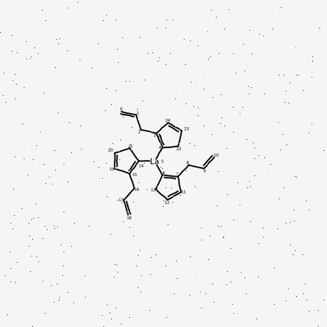 C=CCC1=[C]([La]([C]2=C(CC=C)C=CC2)[C]2=C(CC=C)C=CC2)CC=C1